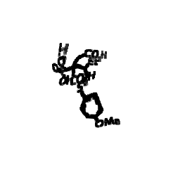 CCC(CSc1ccc(OC)cc1)C(CC(=O)O)(C(=O)O)P(=O)(O)O